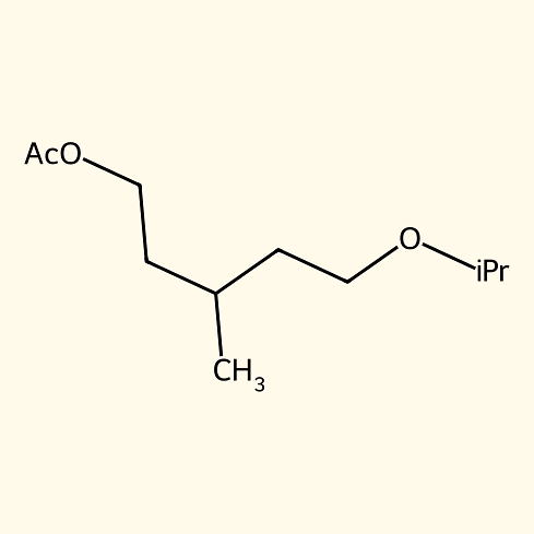 CC(=O)OCCC(C)CCOC(C)C